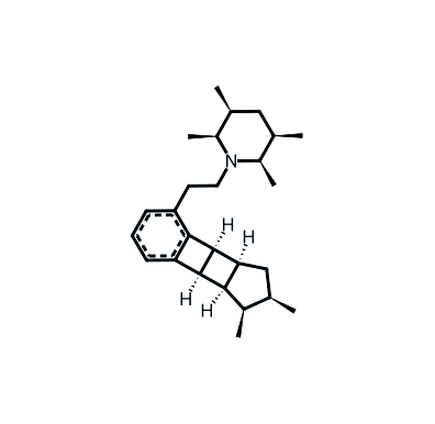 C[C@H]1[C@@H]2[C@H](C[C@H]1C)[C@@H]1c3c(CCN4[C@H](C)[C@H](C)C[C@H](C)[C@@H]4C)cccc3[C@@H]12